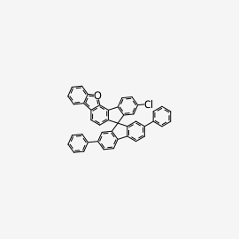 Clc1ccc2c(c1)C1(c3cc(-c4ccccc4)ccc3-c3ccc(-c4ccccc4)cc31)c1ccc3c(oc4ccccc43)c1-2